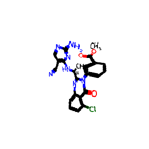 COC(=O)c1cccc(-n2c([C@H](C)Nc3nc(N)ncc3C#N)nc3cccc(Cl)c3c2=O)c1